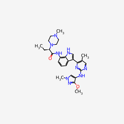 CC[C@H](C(=O)Nc1cccc2c(-c3nc(Nc4cn(C)nc4OC)ncc3C)c[nH]c12)N1CCN(C)CC1